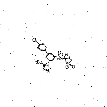 CC1(NC(=O)c2cc(-c3ccc(Cl)cc3)cc(-n3nnnc3C(C)(C)C)c2)CCS(=O)(=O)C1